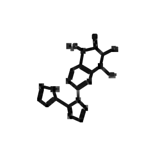 CCC1C(=O)N(C)c2cnc(-n3ncnc3-c3ccn[nH]3)nc2N1C(C)C